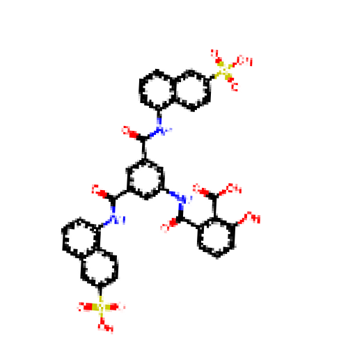 O=C(Nc1cccc2cc(S(=O)(=O)O)ccc12)c1cc(NC(=O)c2cccc(O)c2C(=O)O)cc(C(=O)Nc2cccc3cc(S(=O)(=O)O)ccc23)c1